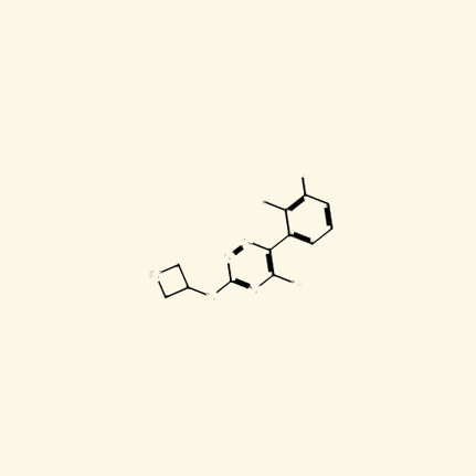 Nc1nc(NC2CNC2)nnc1-c1cccc(Cl)c1Cl